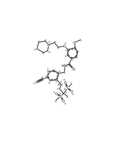 COc1ccc(C(=O)NCc2cnc(C#N)nc2NCC(C)(S(C)(=O)=O)S(C)(=O)=O)cc1OCCN1CCCCC1